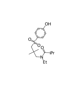 CCN(CC(C)(C)CS(=O)(=O)c1ccc(O)cc1)C(=O)C(C)C